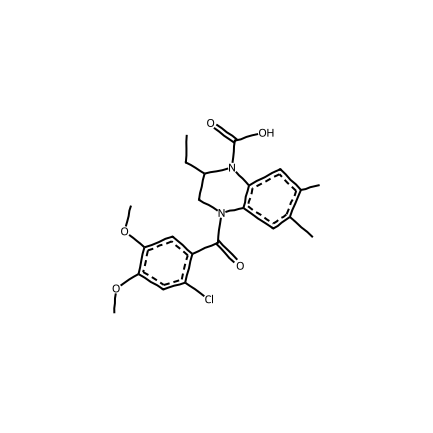 CCC1CN(C(=O)c2cc(OC)c(OC)cc2Cl)c2cc(C)c(C)cc2N1C(=O)O